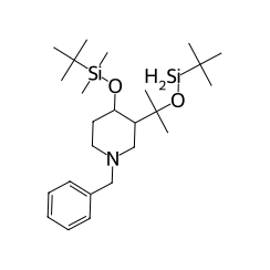 CC(C)(C)[SiH2]OC(C)(C)C1CN(Cc2ccccc2)CCC1O[Si](C)(C)C(C)(C)C